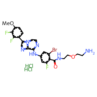 COc1ccc(-c2cnc3c(Nc4cc(F)c(C(=O)NCCOCCN)c(Br)c4)nccn23)c(F)c1F.Cl.Cl